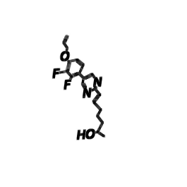 C=CCOc1ccc(-c2cnc(C=CCCCC(C)O)nc2)c(F)c1F